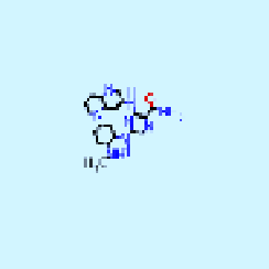 CN[C@H]1CCCC[C@H]1Nc1cnc(C(N)=O)c(Nc2cnc3cccnc3c2)n1